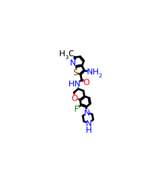 Cc1ccc2c(N)c(C(=O)N[C@H]3COc4c(ccc(N5CCNCC5)c4F)C3)sc2n1